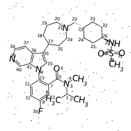 CC(C)N(C)C(=O)c1cc(F)ccc1-n1cc(C2CCCN(C[C@H]3CC[C@H](NS(C)(=O)=O)CC3)CC2)c2ccncc21